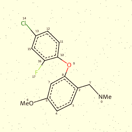 CNCc1ccc(OC)cc1Oc1ccc(Cl)cc1F